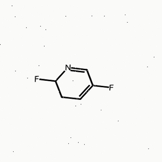 FC1=CCC(F)N=C1